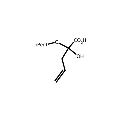 C=CCC(O)(OCCCCC)C(=O)O